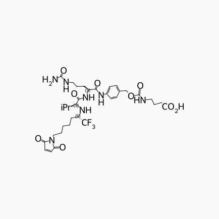 CC(C)[C@H](N[C@@H](CCCCCN1C(=O)C=CC1=O)C(F)(F)F)C(=O)N[C@@H](CCCNC(N)=O)C(=O)Nc1ccc(COC(=O)NCCCC(=O)O)cc1